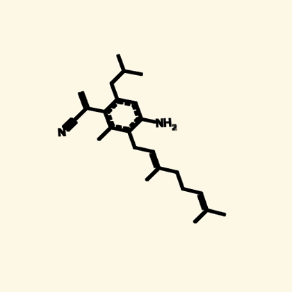 C=C(C#N)c1c(CC(C)C)cc(N)c(C/C=C(\C)CCC=C(C)C)c1C